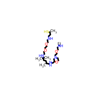 CCNCCOCCN1CCOC(CNCC(C)CCC(C)(C)NCCOCCOCCNCCC(C)S)C1